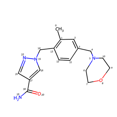 Cc1cc(CN2CCOCC2)ccc1Cn1cc(C(N)=O)cn1